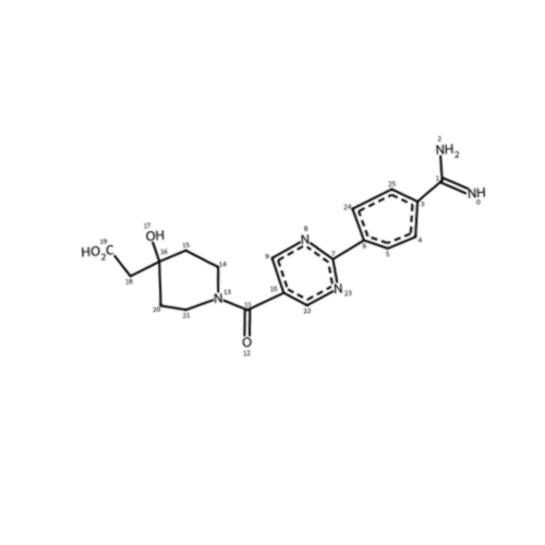 N=C(N)c1ccc(-c2ncc(C(=O)N3CCC(O)(CC(=O)O)CC3)cn2)cc1